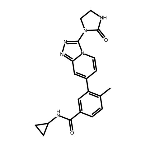 Cc1ccc(C(=O)NC2CC2)cc1-c1ccn2c(N3CCNC3=O)nnc2c1